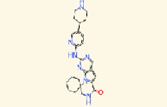 O=C1NCC2(CCCCC2)n2c1cc1cnc(Nc3ccc(C4CCNCC4)cn3)nc12